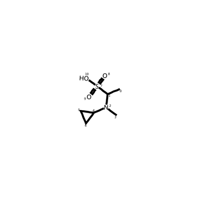 CC(N(C)C1CC1)S(=O)(=O)O